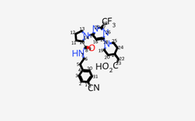 N#Cc1ccc(CCNC(=O)[C@@H]2CCCN2c2cc(N3CCC(CC(=O)O)CC3)nc(C(F)(F)F)n2)cc1